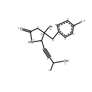 CC(O)C#CC1NC(=O)CC1(Cc1ccc(F)cc1)C(C)C